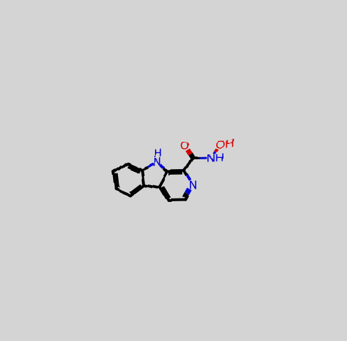 O=C(NO)c1nccc2c1[nH]c1ccccc12